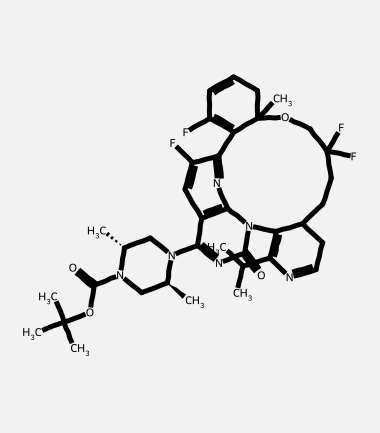 CC(C)C1=C2C(CC=N1)CCC(F)(F)COC1(C)CC=CC(F)=C1c1nc3c(cc1F)c(N1C[C@@H](C)N(C(=O)OC(C)(C)C)C[C@@H]1C)nc(=O)n32